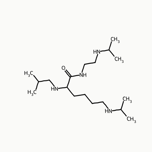 CC(C)CNC(CCCCNC(C)C)C(=O)NCCNC(C)C